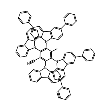 Cc1c(-n2c3ccc(-c4c#cccc4)cc3c3cc(-c4ccccc4)ccc32)c(-n2c3ccccc3c3ccccc32)c(C#N)c(-n2c3ccccc3c3ccccc32)c1-n1c2ccc(-c3ccccc3)cc2c2cc(-c3ccccc3)ccc21